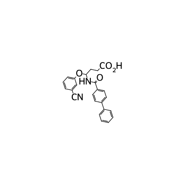 N#Cc1cccc(OC(CCC(=O)O)NC(=O)c2ccc(-c3ccccc3)cc2)c1